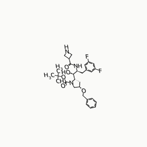 CC(C)(C)OC(=O)N1C[C@H](OCc2ccccc2)C[C@H]1[C@@H](O)[C@H](Cc1cc(F)cc(F)c1)NC(=O)C1CNC1